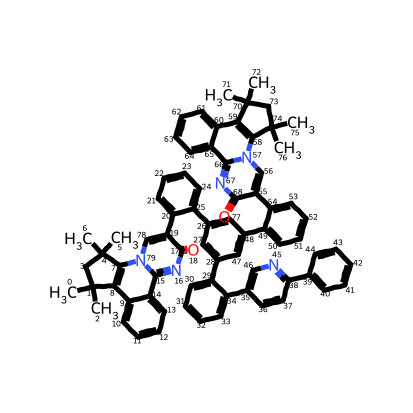 CC1(C)CC(C)(C)c2c1c1ccccc1c1nc(=O)c(-c3ccccc3-c3cc(-c4ccccc4-c4ccc(-c5ccccc5)nc4)cc(-c4ccccc4-c4cn5c6c(c7ccccc7c5nc4=O)C(C)(C)CC6(C)C)c3)cn21